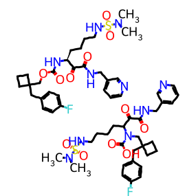 CN(C)S(=O)(=O)NCCCCC(C(=O)C(=O)NCc1cccnc1)N(CC1(Cc2ccc(F)cc2)CCC1)C(=O)O.CN(C)S(=O)(=O)NCCCC[C@H](NC(=O)OCC1(Cc2ccc(F)cc2)CCC1)C(=O)C(=O)NCc1cccnc1